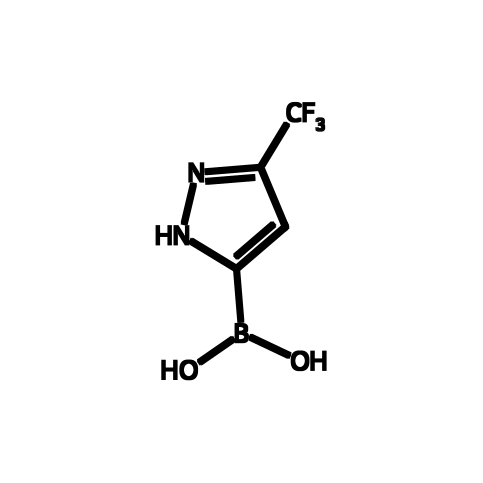 OB(O)c1cc(C(F)(F)F)n[nH]1